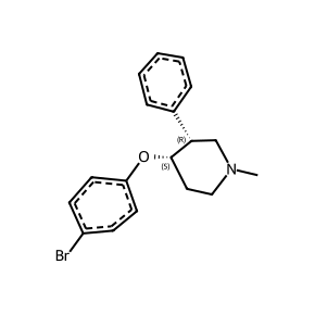 CN1CC[C@H](Oc2ccc(Br)cc2)[C@H](c2ccccc2)C1